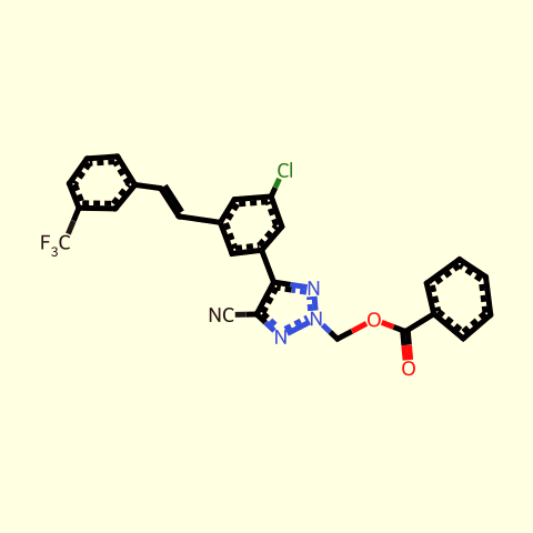 N#Cc1nn(COC(=O)c2ccccc2)nc1-c1cc(Cl)cc(/C=C/c2cccc(C(F)(F)F)c2)c1